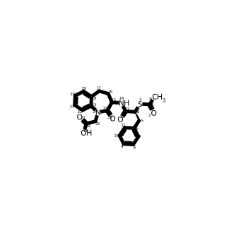 CC(=O)S[C@@H](Cc1ccccc1)C(=O)NC1CCc2ccccc2N(CC(=O)O)C1=O